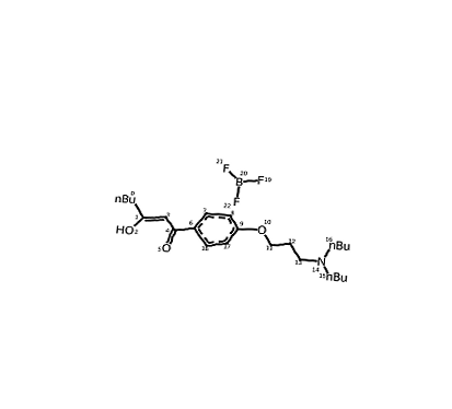 CCCCC(O)=CC(=O)c1ccc(OCCCN(CCCC)CCCC)cc1.FB(F)F